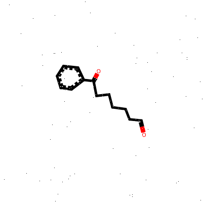 O=CCCCCCC(=O)c1ccccc1